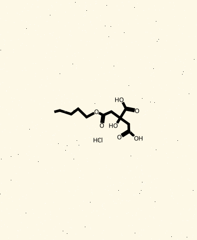 CCCCCOC(=O)CC(O)(CC(=O)O)C(=O)O.Cl